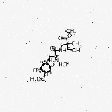 COC(=O)C(C)(CO)CNC(=O)[C@H](N)Cc1ccc(OC)c(Cl)c1.Cl